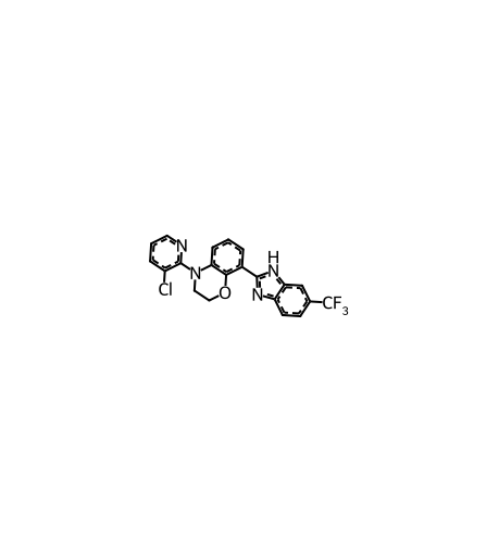 FC(F)(F)c1ccc2nc(-c3cccc4c3OCCN4c3ncccc3Cl)[nH]c2c1